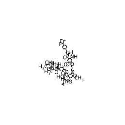 COc1cc2c(cc1OCCCOc1cc3c(cc1OC)C(=O)N1CC4(CC4)C[C@H]1C(O)N3C(=O)OCc1ccc(NC(=O)[C@H](C)NC(=O)[C@@H](N)C(C)C)cc1)NC[C@@H]1CC(c3ccc(C(F)(F)F)cc3)=CN1C2=O